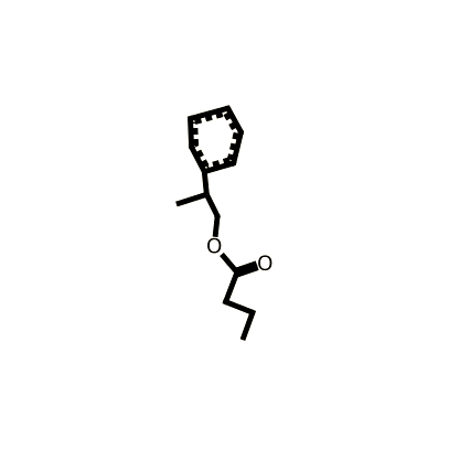 CCCC(=O)OCC(C)c1ccccc1